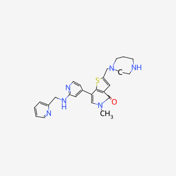 Cn1cc(-c2ccnc(NCc3ccccn3)c2)c2sc(CN3CCCNCC3)cc2c1=O